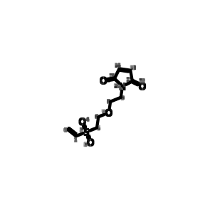 C=CS(=O)(=O)CCOCCN1C(=O)C=CC1=O